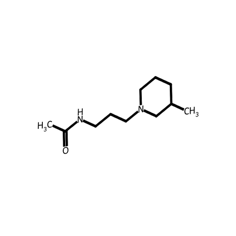 CC(=O)NCCCN1CCCC(C)C1